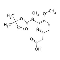 COc1ccc(CC(=O)O)nc1N(C)C(=O)OC(C)(C)C